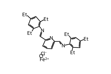 CCc1cc(CC)c(N=Cc2cccc(C=Nc3c(CC)cc(CC)cc3CC)n2)c(CC)c1.[Cl-].[Cl-].[Fe+2]